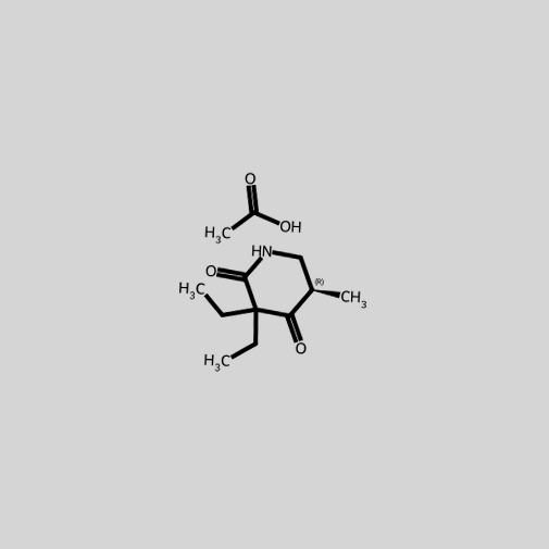 CC(=O)O.CCC1(CC)C(=O)NC[C@@H](C)C1=O